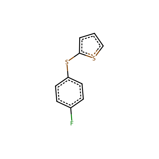 Fc1ccc(Sc2cccs2)cc1